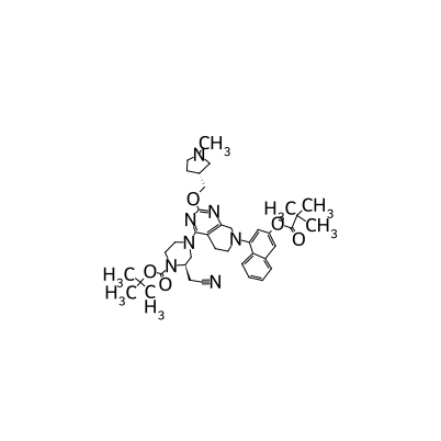 CN1CC[C@@H](COc2nc3c(c(N4CCN(C(=O)OC(C)(C)C)[C@H](CC#N)C4)n2)CCN(c2cc(OC(=O)C(C)(C)C)cc4ccccc24)C3)C1